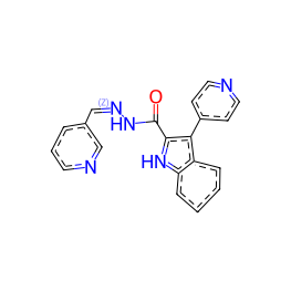 O=C(N/N=C\c1cccnc1)c1[nH]c2ccccc2c1-c1ccncc1